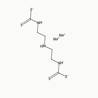 S=C([S-])NCCNCCNC(=S)[S-].[Na+].[Na+]